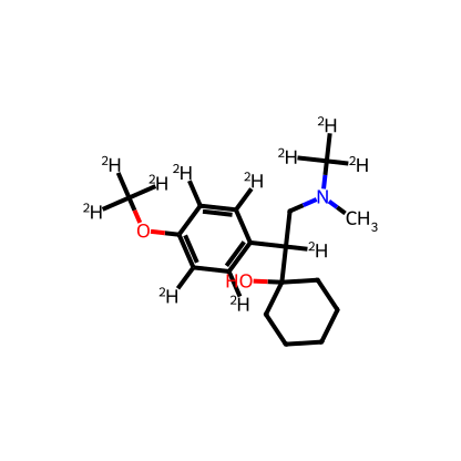 [2H]c1c([2H])c(C([2H])(CN(C)C([2H])([2H])[2H])C2(O)CCCCC2)c([2H])c([2H])c1OC([2H])([2H])[2H]